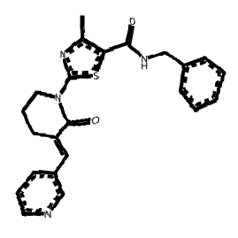 Cc1nc(N2CCCC(=Cc3cccnc3)C2=O)sc1C(=O)NCc1ccccc1